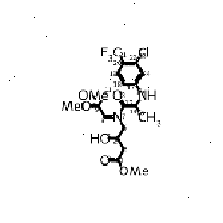 COC(=O)CC(O)CN(CC(OC)OC)C(=O)C(C)Nc1ccc(C(F)(F)F)c(Cl)c1